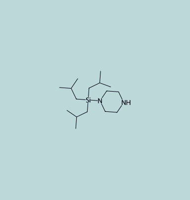 CC(C)C[Si](CC(C)C)(CC(C)C)N1CCNCC1